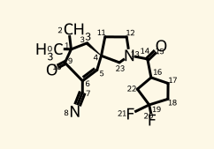 CC1(C)C[C@@]2(C=C(C#N)C1=O)CCN(C(=O)C1CCC(F)(F)C1)C2